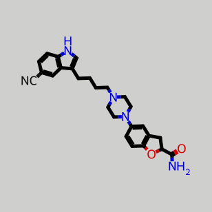 N#Cc1ccc2[nH]cc(CCCCN3CCN(c4ccc5c(c4)CC(C(N)=O)O5)CC3)c2c1